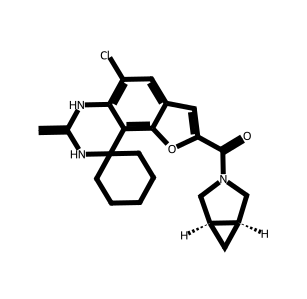 C=C1Nc2c(Cl)cc3cc(C(=O)N4C[C@H]5C[C@H]5C4)oc3c2C2(CCCCC2)N1